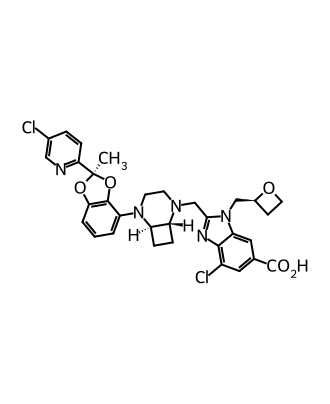 C[C@@]1(c2ccc(Cl)cn2)Oc2cccc(N3CCN(Cc4nc5c(Cl)cc(C(=O)O)cc5n4C[C@@H]4CCO4)[C@@H]4CC[C@H]43)c2O1